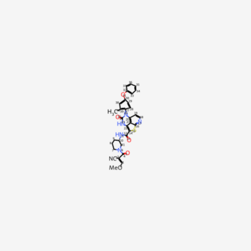 CO/C=C(\C#N)C(=O)N1CCC[C@@H](NC(=O)c2sc3nccc4c3c2NC(=O)N4c2ccc(Oc3ccccc3)cc2C)C1